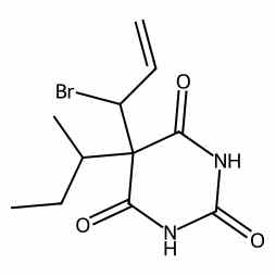 C=CC(Br)C1(C(C)CC)C(=O)NC(=O)NC1=O